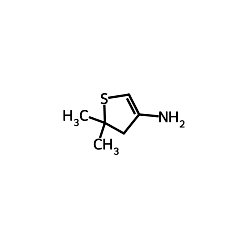 CC1(C)CC(N)=CS1